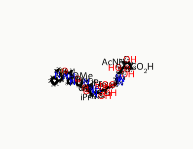 CCC(C)C(C(CC(=O)N1CCCC1C(OC)C(C)C(=O)NC(Cc1ccccc1)c1nccs1)OC)N(C)C(=O)C(NC(=O)C(C(C)C)N(C)CC(O)C(O)C(O)C(O)COCc1cn(CC(O)C(O)C2OC(C)(C(=O)O)CC(O)C2NC(C)=O)nn1)C(C)C